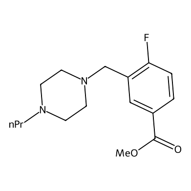 CCCN1CCN(Cc2cc(C(=O)OC)ccc2F)CC1